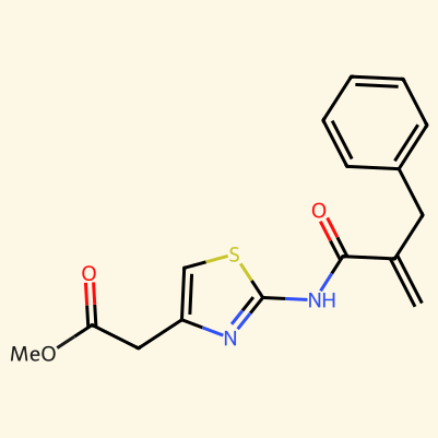 C=C(Cc1ccccc1)C(=O)Nc1nc(CC(=O)OC)cs1